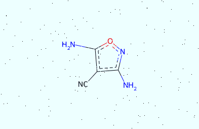 N#Cc1c(N)noc1N